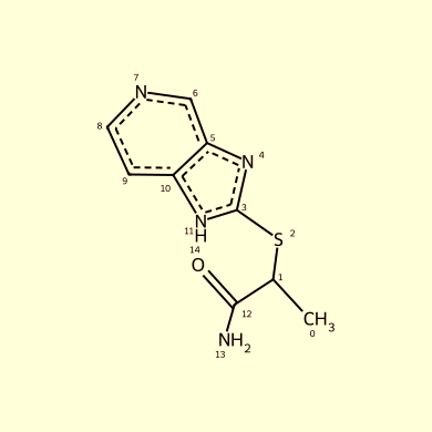 CC(Sc1nc2cnccc2[nH]1)C(N)=O